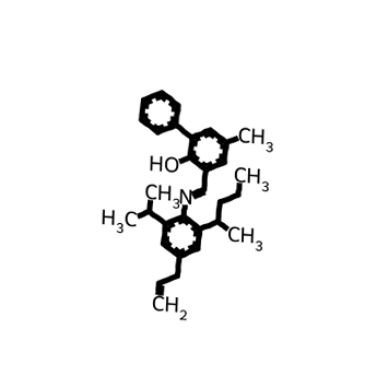 C=CCc1cc(C(C)C)c(N=Cc2cc(C)cc(-c3ccccc3)c2O)c(C(C)CCC)c1